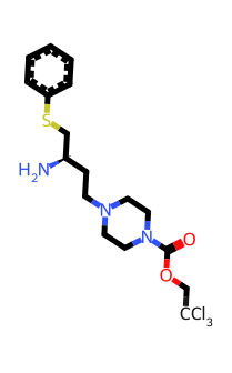 N[C@H](CCN1CCN(C(=O)OCC(Cl)(Cl)Cl)CC1)CSc1ccccc1